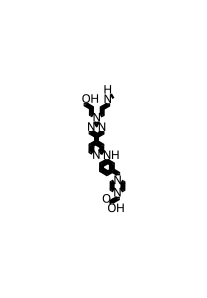 CNCCCN(CCCO)c1ncc(-c2ccnc(Nc3cccc(CN4CCN(CC(=O)O)CC4)c3)c2)cn1